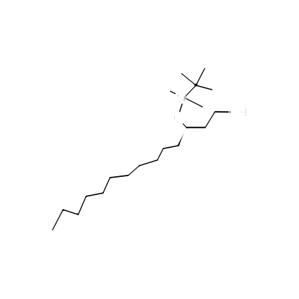 CCCCCCCCCCC[C@H](CCO)O[Si](C)(C)C(C)(C)C